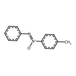 Cc1ccc([N+]([O-])=Nc2ccccc2)cc1